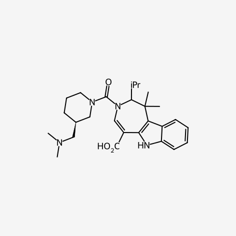 CC(C)C1N(C(=O)N2CCC[C@H](CN(C)C)C2)C=C(C(=O)O)c2[nH]c3ccccc3c2C1(C)C